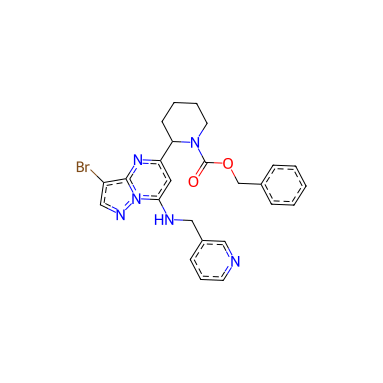 O=C(OCc1ccccc1)N1CCCCC1c1cc(NCc2cccnc2)n2ncc(Br)c2n1